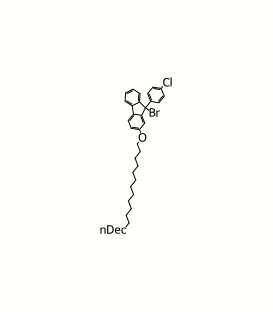 CCCCCCCCCCCCCCCCCCCCCCOc1ccc2c(c1)C(Br)(c1ccc(Cl)cc1)c1ccccc1-2